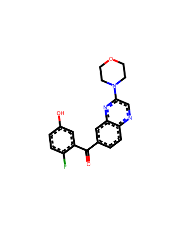 O=C(c1ccc2ncc(N3CCOCC3)nc2c1)c1cc(O)ccc1F